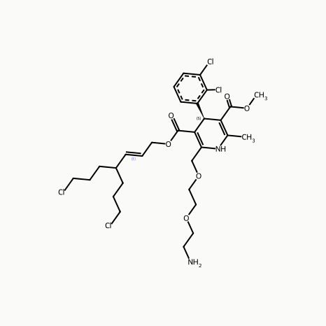 COC(=O)C1=C(C)NC(COCCOCCN)=C(C(=O)OC/C=C/C(CCCCl)CCCCl)[C@H]1c1cccc(Cl)c1Cl